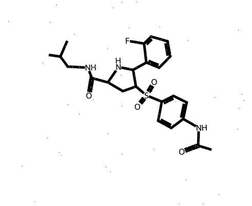 CC(=O)Nc1ccc(S(=O)(=O)C2CC(C(=O)NCC(C)C)NC2c2ccccc2F)cc1